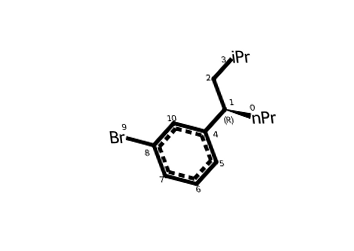 CCC[C@H](CC(C)C)c1cccc(Br)c1